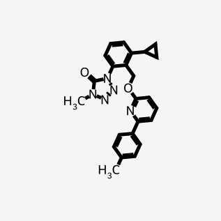 Cc1ccc(-c2cccc(OCc3c(C4CC4)cccc3-n3nnn(C)c3=O)n2)cc1